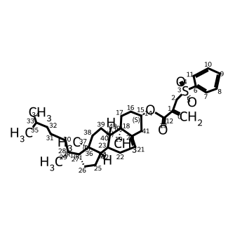 C=C(CS(=O)(=O)c1ccccc1)C(=O)O[C@H]1CC[C@@]2(C)C(=CCC3[C@@H]4CC[C@H]([C@H](C)CCCC(C)C)[C@@]4(C)CC[C@@H]32)C1